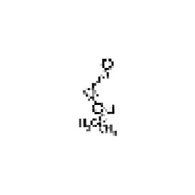 CC(C)Oc1ccc(-c2noc(CCCOc3ccccc3)n2)cc1Cl